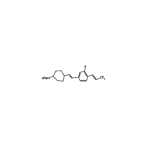 CCCCCC1CCC(/C=C/c2ccc(/C=C/C(F)(F)F)c(F)c2)CC1